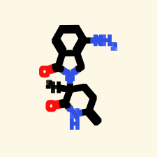 [2H]C1(N2Cc3c(N)cccc3C2=O)CCC(=C)NC1=O